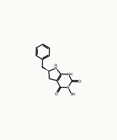 CC(C)n1c(=O)[nH]c2c(c1=O)C[C@@H](Cc1ccccc1)N2